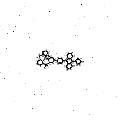 CC1(C)c2cccc3c2-n2c4c1cccc4c1cc(C4C=CC(c5c6ccccc6c(-c6ccccc6)c6ccccc56)=CC4)cc(c12)C3(C)C